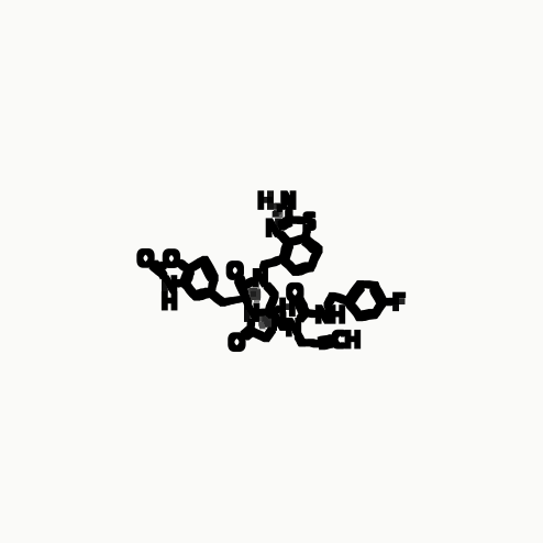 C#CCN(C(=O)NCc1ccc(F)cc1)N1CC(=O)N2[C@@H](Cc3ccc4oc(=O)[nH]c4c3)C(=O)N(Cc3cccc4sc(N)nc34)C[C@@H]21